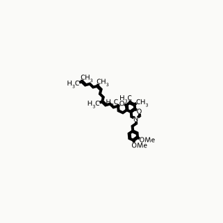 COc1ccc(CCN2COc3c(C)c(C)c4c(c3C2)CC[C@@](C)(CCC=C(C)CCC=C(C)CCC=C(C)C)O4)cc1OC